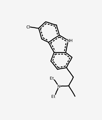 CCN(CC)[C](C)Cc1ccc2c(c1)[nH]c1ccc(Cl)cc12